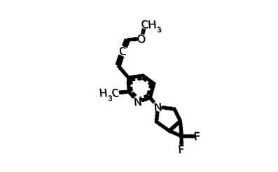 COC=C=Cc1ccc(N2CC3C(C2)C3(F)F)nc1C